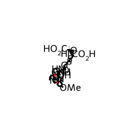 CC[C@]12C=CCN3CC[C@@]4(C5=CCC(OC)C=C5N(C)[C@H]4[C@@](O)(C(=O)NNC(=O)OCCSSC[C@H](NC(=O)[C@@H](C)CC(=O)O)C(=O)O)[C@@H]1O)[C@@H]32